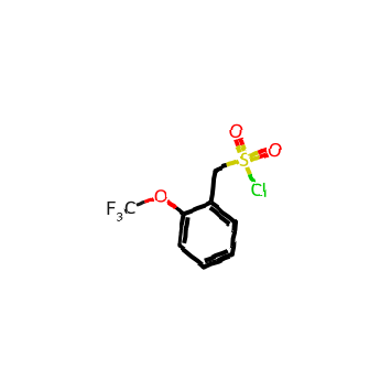 O=S(=O)(Cl)Cc1ccccc1OC(F)(F)F